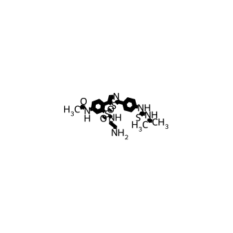 CC(=O)Nc1ccc(-c2cnc(-c3ccc(NC(=S)NC(C)C)cc3)s2)c(S(=O)(=O)NCCN)c1